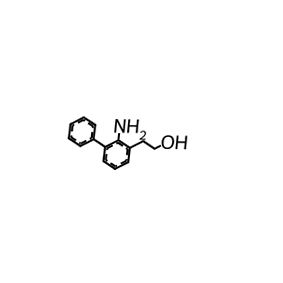 Nc1c(CCO)cccc1-c1ccccc1